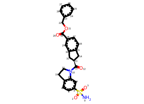 NS(=O)(=O)c1ccc2c(c1)N(C(=O)[C@@H]1Cc3ccc(C(=O)OCc4ccccc4)cc3C1)CC2